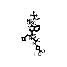 CC[C@H](NS(=O)(=O)c1ncc(-c2sc(C(=O)N[C@H]3C[C@H](C(=O)O)C3)nc2CC2CCC2)c2ccccc12)C(F)(F)F